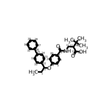 CCC(Oc1ccc(C(=O)NCC(C(=O)O)C(C)(C)C)cc1)c1ccc(-c2ccccc2)cc1